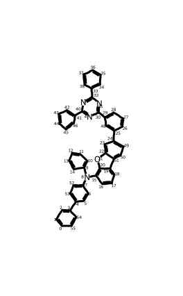 c1ccc(-c2ccc(N(c3ccccc3)c3cccc4c3oc3cc(-c5cccc(-c6nc(-c7ccccc7)nc(-c7ccccc7)n6)c5)ccc34)cc2)cc1